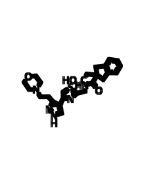 O=C(O)CC1(C(=O)NCc2nc(-c3c[nH]nc3CCN3CCOCC3)cs2)Cc2ccccc2C1